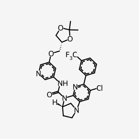 CC1(C)OC[C@@H](COc2cncc(NC(=O)N3c4nc(-c5cccc(C(F)(F)F)c5)c(Cl)cc4N4CC[C@H]3C4)c2)O1